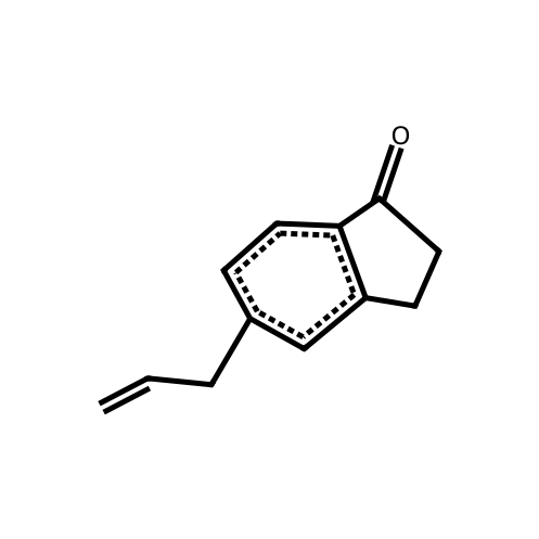 C=CCc1ccc2c(c1)CCC2=O